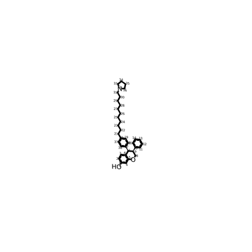 Oc1ccc2c(c1)OC[C@H](c1ccccc1)[C@@H]2c1ccc(CCCCCCCCCCCN2CCCC2)cc1